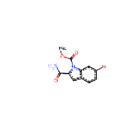 CC(C)(C)OC(=O)n1c(C(N)=O)cc2ccc(Br)cc21